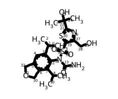 CC(C)c1cc2c(c(C(C)C)c1N(C(N)=O)S(=O)(=O)c1sc(C(C)(C)O)nc1CO)COC2